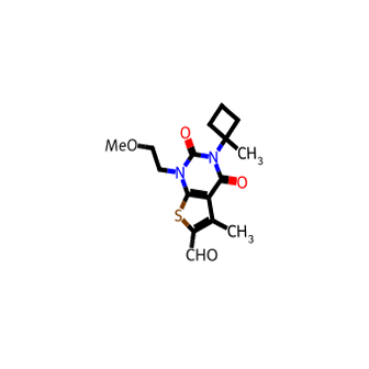 COCCn1c(=O)n(C2(C)CCC2)c(=O)c2c(C)c(C=O)sc21